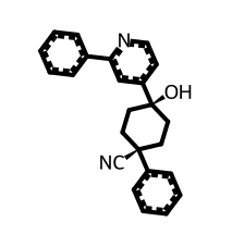 N#C[C@]1(c2ccccc2)CC[C@@](O)(c2ccnc(-c3ccccc3)c2)CC1